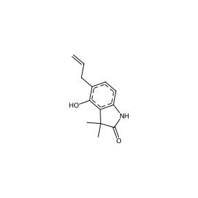 C=CCc1ccc2c(c1O)C(C)(C)C(=O)N2